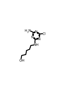 Nc1nc(Cl)nc(NCCCCCO)n1